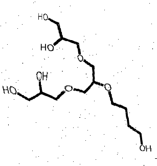 OCCCCOC(COCC(O)CO)COCC(O)CO